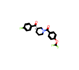 O=C(c1ccc(F)cc1)[C@H]1CCCN(C(=O)c2ccc(OC(F)F)cc2)C1